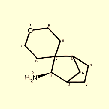 N[C@@H]1C2CCC(C2)C12CCOCC2